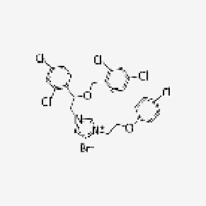 Clc1ccc(OCC[n+]2ccn(CC(OCc3ccc(Cl)cc3Cl)c3ccc(Cl)cc3Cl)c2)cc1.[Br-]